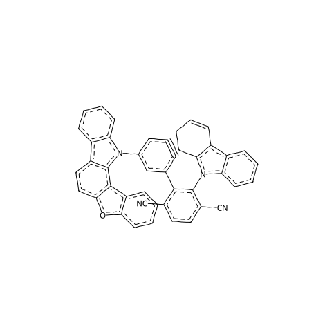 N#Cc1ccc(C#N)c(-n2c3c(c4ccccc42)C=CCC3)c1-c1c#ccc(-n2c3ccccc3c3ccc4oc5ccccc5c4c32)c1